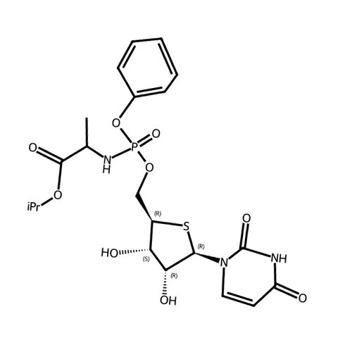 CC(C)OC(=O)C(C)NP(=O)(OC[C@H]1S[C@@H](n2ccc(=O)[nH]c2=O)[C@H](O)[C@@H]1O)Oc1ccccc1